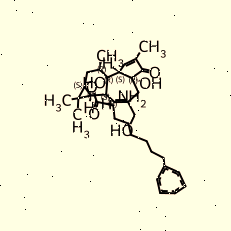 CC1=C[C@H]2[C@@]3(O)[C@H](C)C[C@]4(OC(=O)[C@H](N)CCCCCCc5ccccc5)[C@H]([C@@H]3C=C(CO)C[C@]2(O)C1=O)C4(C)C